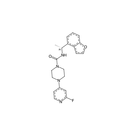 C[C@@H](NC(=O)N1CCN(c2ccnc(F)c2)CC1)c1cccc2occc12